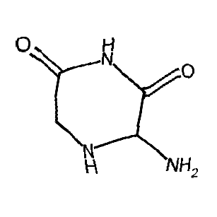 NC1NCC(=O)NC1=O